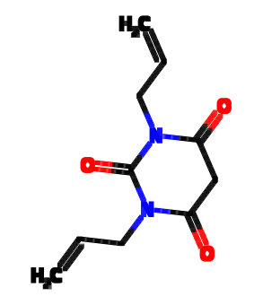 C=CCN1C(=O)CC(=O)N(CC=C)C1=O